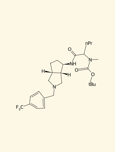 CCCC(C(=O)N[C@@H]1CC[C@H]2CN(Cc3ccc(C(F)(F)F)cc3)C[C@H]21)N(C)C(=O)OC(C)(C)C